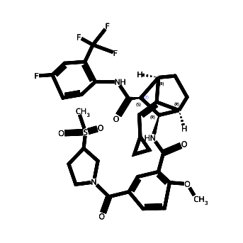 COc1ccc(C(=O)N2CCC(S(C)(=O)=O)C2)cc1C(=O)N[C@H]1[C@@H](C(=O)Nc2ccc(F)cc2C(F)(F)F)[C@H]2CC[C@@H]1/C2=C\C1CC1